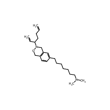 C=CCCC(C=C)N1Cc2cc(CCCCCCCN(C)C)ccc2CO1